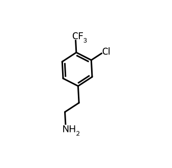 NCCc1ccc(C(F)(F)F)c(Cl)c1